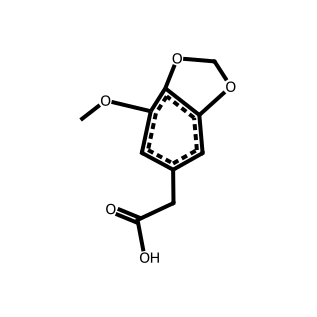 COc1cc(CC(=O)O)cc2c1OCO2